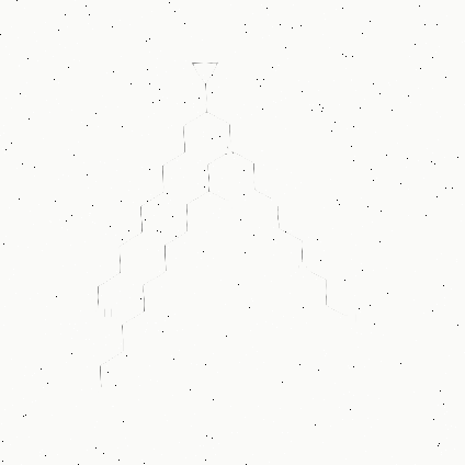 CCCCCCCCCCC(O)CN(CCOCCOCCC)CC(CCCCCCCCCC)C1CC1